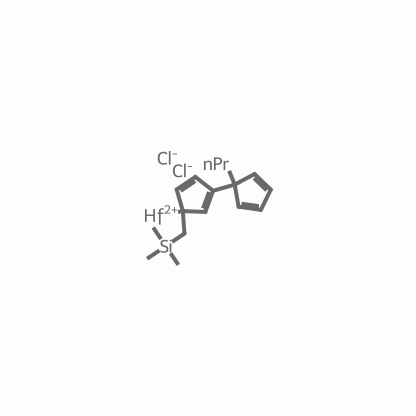 CCCC1(C2=C[C]([Hf+2])(C[Si](C)(C)C)C=C2)C=CC=C1.[Cl-].[Cl-]